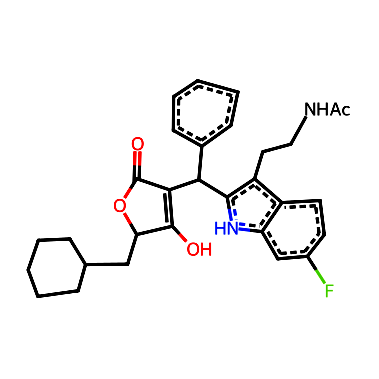 CC(=O)NCCc1c(C(C2=C(O)C(CC3CCCCC3)OC2=O)c2ccccc2)[nH]c2cc(F)ccc12